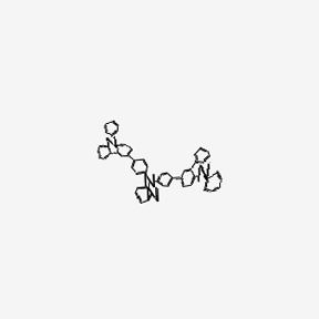 c1ccc(-n2c3ccccc3c3cc(-c4ccc(N(c5ccc(-c6ccc7c(c6)c6ccccc6n7-c6ccccc6)cc5)c5ccccn5)cc4)ccc32)cc1